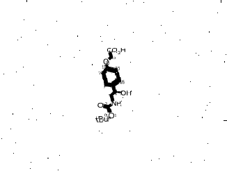 CC(C)(C)OC(=O)NC[C@H](O)c1ccc(OCC(=O)O)cc1